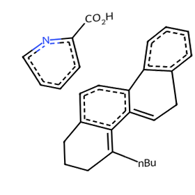 CCCCC1=c2c(ccc3c2=CCc2ccccc2-3)CCC1.O=C(O)c1ccccn1